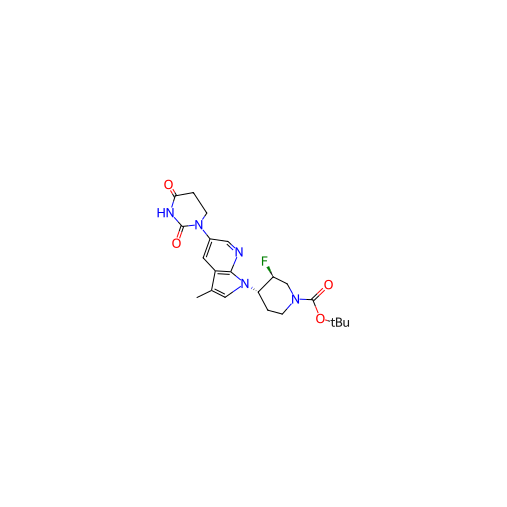 Cc1cn([C@H]2CCN(C(=O)OC(C)(C)C)C[C@@H]2F)c2ncc(N3CCC(=O)NC3=O)cc12